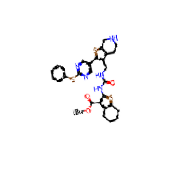 CC(C)(C)OC(=O)c1c(NC(=O)NCc2c(-c3cnc(Sc4ccccc4)nc3)sc3c2CCNC3)sc2c1CCCC2